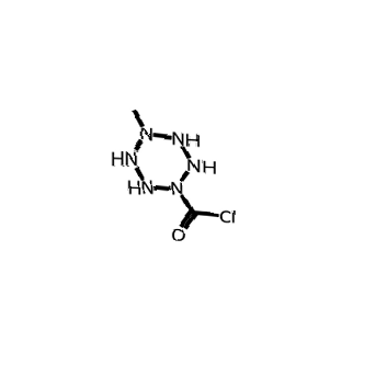 CN1NNN(C(=O)Cl)NN1